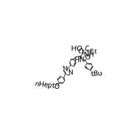 CCCCCCCOc1ccc(-c2cnc(-c3ccc(C[C@H](NC(=O)c4ccc(C(C)(C)C)cc4)C(=O)N[C@@H](CC)C(=O)O)cc3)nc2)cc1